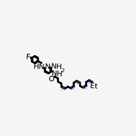 CC/C=C\C/C=C\C/C=C\C/C=C\C/C=C\CCCC(=O)Nc1ccc(NCc2ccc(F)cc2)nc1N